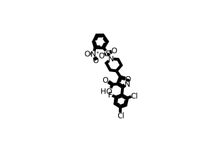 O=C(O)c1c(-c2c(F)cc(Cl)cc2Cl)noc1C1CCN(S(=O)(=O)c2ccccc2[N+](=O)[O-])CC1